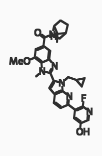 COc1cc(C(=O)N2CC3CCC2[C@@H]3C)cc2nc(-c3cc4ccc(-c5cc(O)cnc5F)nc4n3CC3CC3)n(C)c12